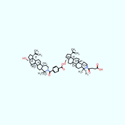 C=C(C)[C@@H]1CC[C@]2(COOC(=O)c3ccc(C(=O)N4CC[C@@]5(C)C(CC[C@]6(C)[C@@H]5CC[C@@H]5[C@H]7[C@H](C(=C)C)CC[C@]7(CO)CC[C@]56C)C4(C)C)cc3)CC[C@]3(C)[C@H](CC[C@@H]4[C@@]5(C)CCN(C(=O)CCC(=O)O)C(C)(C)C5CC[C@]43C)[C@@H]12